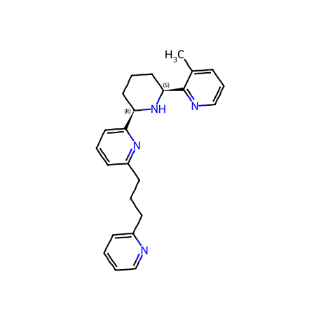 Cc1cccnc1[C@@H]1CCC[C@H](c2cccc(CCCc3ccccn3)n2)N1